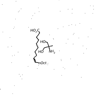 CC(N)(CO)CO.CCCCCCCC/C=C\CCCCCCCC(=O)O